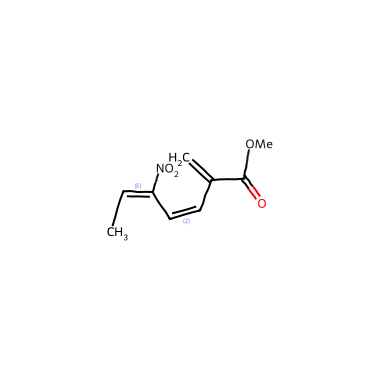 C=C(/C=C\C(=C/C)[N+](=O)[O-])C(=O)OC